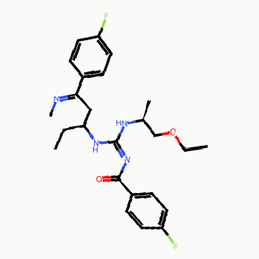 CCOC[C@H](C)N/C(=N/C(=O)c1ccc(F)cc1)NC(CC)C/C(=N\C)c1ccc(F)cc1